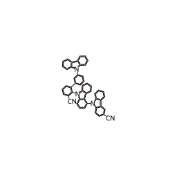 N#Cc1ccc2c(c1)c1ccccc1n2-c1cccc2c1c1ccccc1n2-c1c(C#N)cccc1-c1cccc(-n2c3ccccc3c3ccccc32)c1